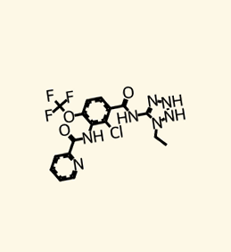 CCN1NNN=C1NC(=O)c1ccc(OC(F)(F)F)c(NC(=O)c2ccccn2)c1Cl